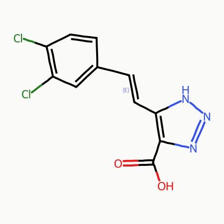 O=C(O)c1nn[nH]c1/C=C/c1ccc(Cl)c(Cl)c1